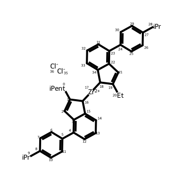 CCCC(C)C1=Cc2c(-c3ccc(C(C)C)cc3)cccc2[CH]1[Zr+2][CH]1C(CC)=Cc2c(-c3ccc(C(C)C)cc3)cccc21.[Cl-].[Cl-]